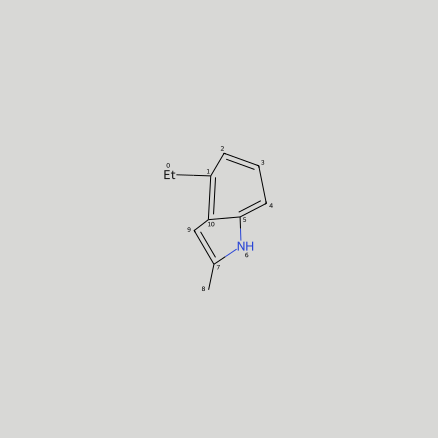 CCc1cccc2[nH]c(C)cc12